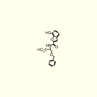 O=C(N[C@@H](COCc1ccccc1)C(=O)O)c1cc2cccc(O)c2o1